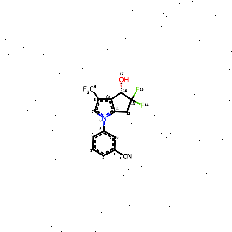 N#Cc1cccc(-n2cc(C(F)(F)F)c3c2CC(F)(F)[C@H]3O)c1